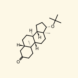 CC(C)(C)O[C@H]1CC[C@H]2[C@@H]3CC[C@H]4CC(=O)CC[C@]4(C)[C@H]3CC[C@]12C